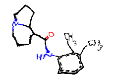 Cc1cccc(NC(=O)C2CCN3CCCC23)c1C